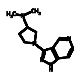 CN(C)C1CCN(c2n[nH]c3ccncc23)C1